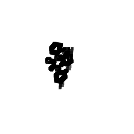 C=CC(=O)Nc1ccccc1Nc1cc(Oc2ccc(F)cc2F)ccn1